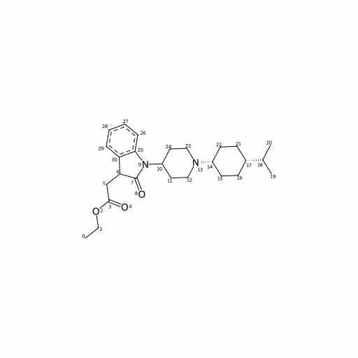 CCOC(=O)CC1C(=O)N(C2CCN([C@H]3CC[C@@H](C(C)C)CC3)CC2)c2ccccc21